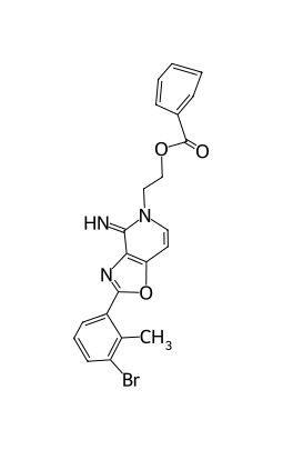 Cc1c(Br)cccc1-c1nc2c(=N)n(CCOC(=O)c3ccccc3)ccc2o1